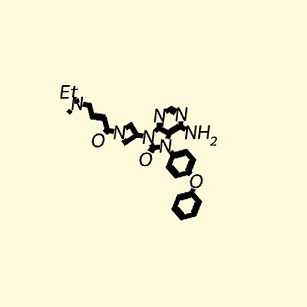 CCN(C)CC=CC(=O)N1CC(n2c(=O)n(-c3ccc(Oc4ccccc4)cc3)c3c(N)ncnc32)C1